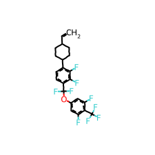 C=CC1CCC(c2ccc(C(F)(F)Oc3cc(F)c(C(F)(F)F)c(F)c3)c(F)c2F)CC1